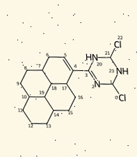 ClC1N=C(C2=CCC3CCC4CCCC5CCC2C3C45)NC(Cl)N1